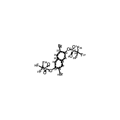 O=S(=O)(Oc1cc2cc(Br)c(OS(=O)(=O)C(F)(F)F)cc2cc1Br)C(F)(F)F